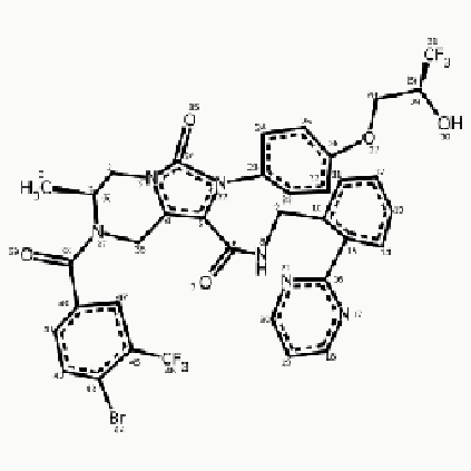 C[C@H]1Cn2c(c(C(=O)NCc3ccccc3-c3ncccn3)n(-c3ccc(OC[C@H](O)C(F)(F)F)cc3)c2=O)CN1C(=O)c1ccc(Br)c(C(F)(F)F)c1